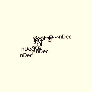 CCCCCCCCCCCCCCCOC(=O)CCCN(CCCC(=O)OCCCCCCCCCCCCCCC)CC(O)CN(CCCCCCCCCCCCCC)CCCCNCCCCCCCCCCCCCC